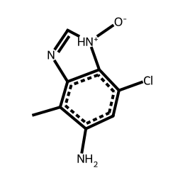 Cc1c(N)cc(Cl)c2c1N=C[NH+]2[O-]